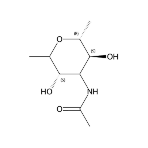 CC(=O)NC1[C@H](O)C(C)O[C@H](C)[C@H]1O